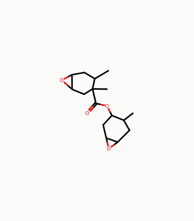 CC1CC2OC2CC1OC(=O)C1(C)CC2OC2CC1C